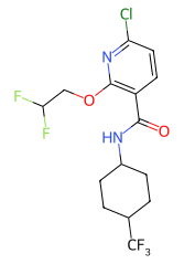 O=C(NC1CCC(C(F)(F)F)CC1)c1ccc(Cl)nc1OCC(F)F